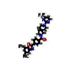 [C-]#[N+]c1cc(C(C)C)c2oc(-c3ccc(C(=O)N4CCC5(CCN(c6nccc(C(F)(F)F)n6)CC5)C4)cc3)nc2c1